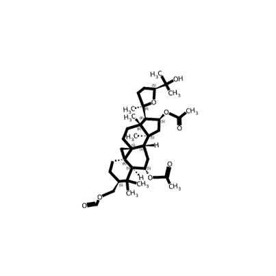 CC(=O)O[C@H]1C[C@@]2(C)[C@@H]3C[C@H](OC(C)=O)[C@H]4C(C)(C)[C@@H](COC=O)CC[C@@]45C[C@@]35CC[C@]2(C)[C@H]1[C@@]1(C)CC[C@@H](C(C)(C)O)O1